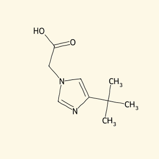 CC(C)(C)c1cn(CC(=O)O)cn1